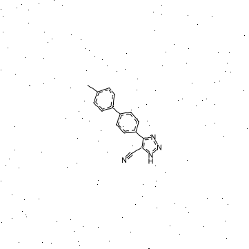 Cc1ccc(-c2ccc(-c3nn[nH]c3C#N)cc2)cc1